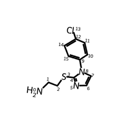 NCCSc1nccn1-c1ccc(Cl)cc1